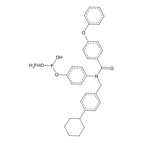 O=C(c1ccc(Oc2ccccc2)cc1)N(Cc1ccc(C2CCCCC2)cc1)c1ccc(OP(O)O)cc1.P